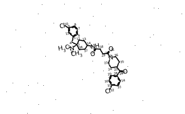 CN(C)C1(Cc2cccc(Cl)c2)CCC(NC(=O)CCC(=O)N2CCC(C(=O)c3ccc(Cl)cc3)CC2)CC1